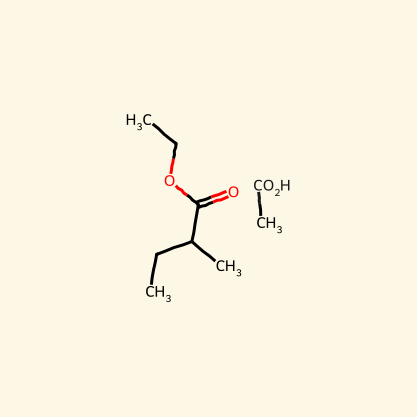 CC(=O)O.CCOC(=O)C(C)CC